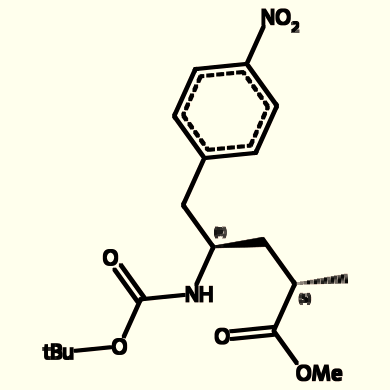 COC(=O)[C@@H](C)C[C@H](Cc1ccc([N+](=O)[O-])cc1)NC(=O)OC(C)(C)C